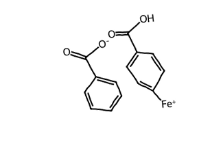 O=C(O)c1cc[c]([Fe+])cc1.O=C([O-])c1ccccc1